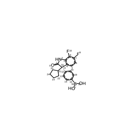 O=C1Nc2c(ccc(F)c2F)[C@@]1(c1ccc(B(O)O)cc1)C1CCCC1